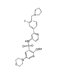 COc1ncc(N2CCOCC2)cc1S(=O)(=O)Nc1ccnc(-c2ccc(CN3CCCC3)c(F)c2)c1